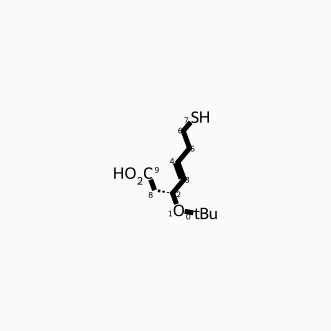 CC(C)(C)O[C@@H](C=CCCS)CC(=O)O